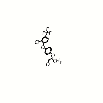 CC([C]=O)Oc1ccc(Oc2ccc(C(F)(F)F)cc2Cl)cc1